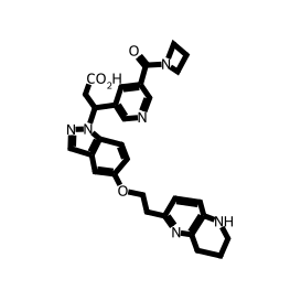 O=C(O)CC(c1cncc(C(=O)N2CCC2)c1)n1ncc2cc(OCCc3ccc4c(n3)CCCN4)ccc21